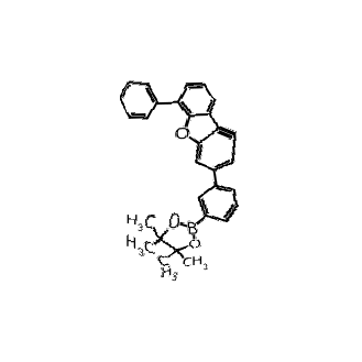 CC1(C)OB(c2cccc(-c3ccc4c(c3)oc3c(-c5ccccc5)cccc34)c2)OC1(C)C